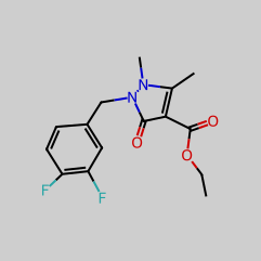 CCOC(=O)c1c(C)n(C)n(Cc2ccc(F)c(F)c2)c1=O